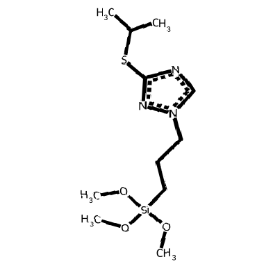 CO[Si](CCCn1cnc(SC(C)C)n1)(OC)OC